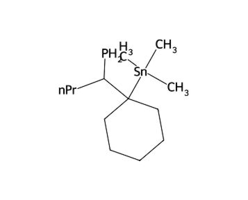 CCCC(P)[C]1([Sn]([CH3])([CH3])[CH3])CCCCC1